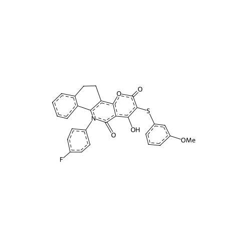 COc1cccc(Sc2c(O)c3c(=O)n(-c4ccc(F)cc4)c4c(c3oc2=O)CCc2ccccc2-4)c1